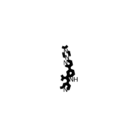 Cc1cc(-c2[nH]c3ccc(-c4ccc(N5CCN(C(C)C)CC5)nc4)cc3c2C(C)C)ccn1